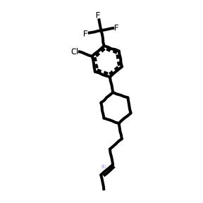 C/C=C/CCC1CCC(c2ccc(C(F)(F)F)c(Cl)c2)CC1